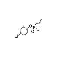 C=CCP(=O)(O)Oc1ccc(Cl)cc1C